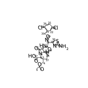 CC(=O)OCC1=C(C(=O)O)N2C(=O)[C@@H](NC(=O)C(=NOCc3cc(Cl)ccc3Cl)c3csc(N)n3)[C@@H]2SC1